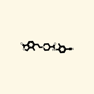 Cc1cc(C#N)ccc1NC(=O)C1CCN(CCc2ccc3c(c2C)COC3=O)CC1